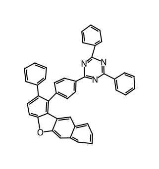 c1ccc(-c2nc(-c3ccccc3)nc(-c3ccc(-c4c(-c5ccccc5)ccc5oc6cc7ccccc7cc6c45)cc3)n2)cc1